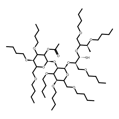 CCCCOCC1O[C@H](O[C@@H]2C(OCCCC)[C@H](OCCCC)C(COCCCC)O[C@@H]2O[C@H](COCCCC)[C@@H](S)OC(COCCCC)[C@H](C)OCCCC)C(OC(C)=O)C(OCCCC)[C@@H]1OCCCC